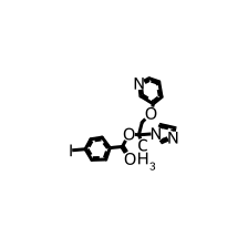 CC(COc1cccnc1)(OC(=O)c1ccc(I)cc1)n1ccnc1